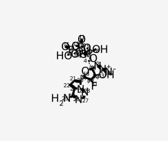 [N-]=[N+]=N[C@]1(COP(=O)(O)OP(=O)(O)OP(=O)(O)O)O[C@@H](c2ccc3c(N)ncnn23)[C@H](F)[C@@H]1O